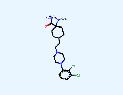 CN(C)C1(C(N)=O)CCC(CCN2CCN(c3cccc(Cl)c3Cl)CC2)CC1